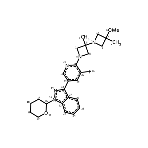 COC1(C)CN(C2(C)CN(c3ncc(-c4nn(C5CCCCO5)c5ccccc45)cc3F)C2)C1